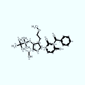 COCC[C@@H]1[C@H](O[Si](C)(C)C(C)(C)C)[C@@H](CO)O[C@H]1n1ccc(=O)n(C(=O)c2ccccc2)c1=O